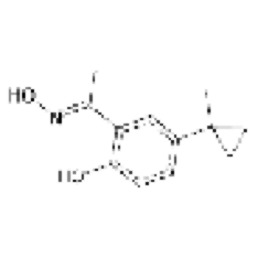 C/C(=N\O)c1cc(C2(C)CC2)ccc1O